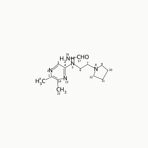 Cc1ncc(NCCN2CCCC2)nc1C.NC=O